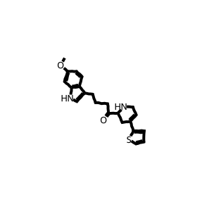 COc1ccc2c(CCCC(=O)C3CC(c4cccs4)=CCN3)c[nH]c2c1